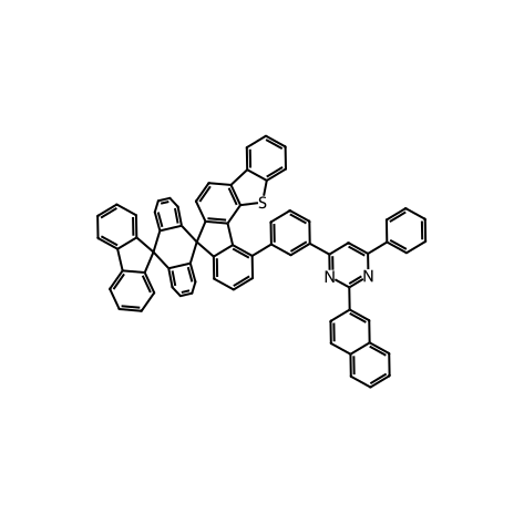 c1ccc(-c2cc(-c3cccc(-c4cccc5c4-c4c(ccc6c4sc4ccccc46)C54c5ccccc5C5(c6ccccc6-c6ccccc65)c5ccccc54)c3)nc(-c3ccc4ccccc4c3)n2)cc1